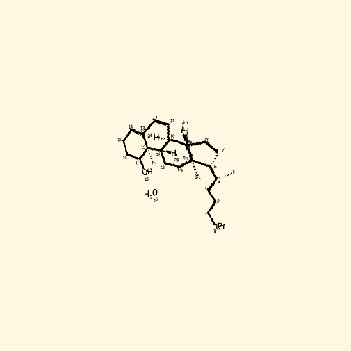 CC(C)CCC[C@@H](C)[C@H]1CC[C@H]2[C@@H]3CCC4CCCC(O)[C@]4(C)[C@H]3CC[C@]12C.O